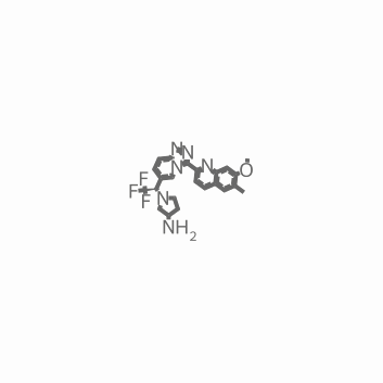 COc1cc2nc(-c3nnc4ccc([C@@H](N5CCC(N)C5)C(F)(F)F)cn34)ccc2cc1C